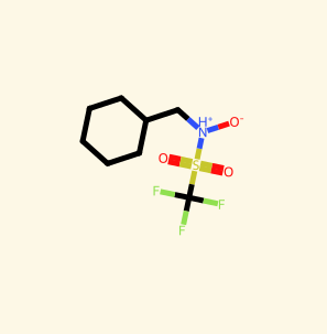 O=S(=O)([NH+]([O-])CC1CCCCC1)C(F)(F)F